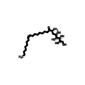 CCCCCCCC/C=C\CCCCCCCC(=O)N(C)C[C@H](O)[C@@H](O)[C@H](O)[C@H](O)CO